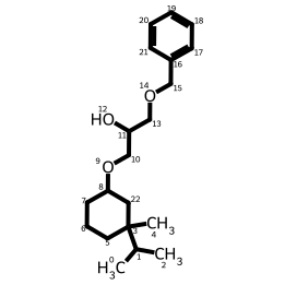 CC(C)C1(C)CCCC(OCC(O)COCc2ccccc2)C1